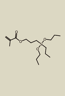 C=C(C)C(=O)OCCC[Si](CCC)(OCCC)OCCC